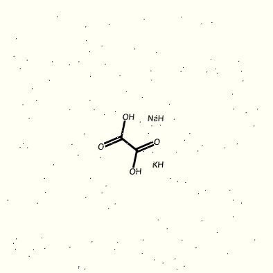 O=C(O)C(=O)O.[KH].[NaH]